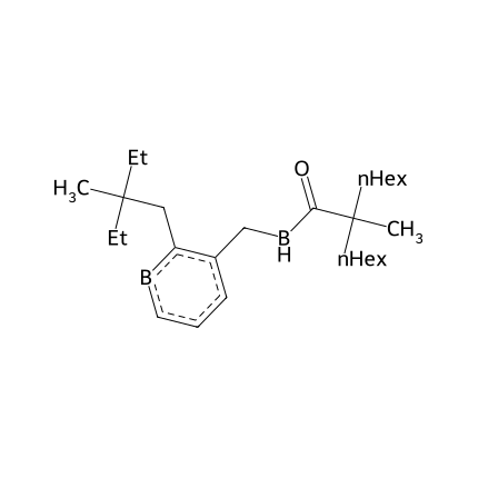 CCCCCCC(C)(CCCCCC)C(=O)BCc1cccbc1CC(C)(CC)CC